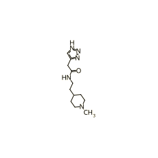 CN1CCC(CCNC(=O)Cc2c[nH]nn2)CC1